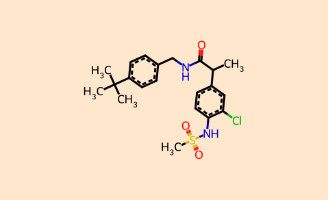 CC(C(=O)NCc1ccc(C(C)(C)C)cc1)c1ccc(NS(C)(=O)=O)c(Cl)c1